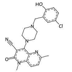 Cc1ccc2c(n1)c(N1CCN(Cc3cc(Cl)ccc3O)CC1)c(C#N)c(=O)n2C